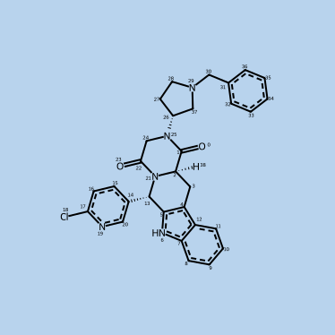 O=C1[C@H]2Cc3c([nH]c4ccccc34)[C@H](c3ccc(Cl)nc3)N2C(=O)CN1[C@@H]1CCN(Cc2ccccc2)C1